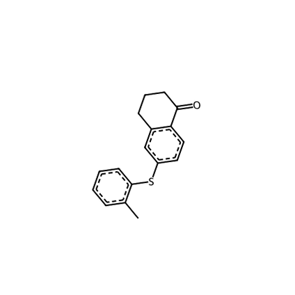 Cc1ccccc1Sc1ccc2c(c1)CCCC2=O